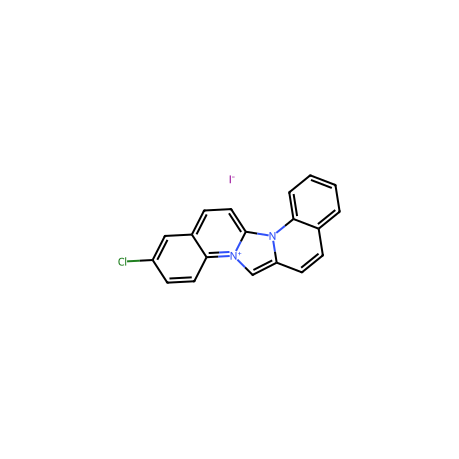 Clc1ccc2c(ccc3n4c(ccc5ccccc54)c[n+]23)c1.[I-]